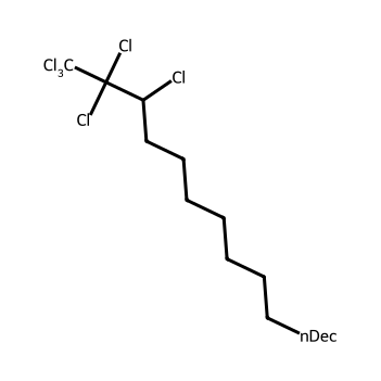 CCCCCCCCCCCCCCCCCC(Cl)C(Cl)(Cl)C(Cl)(Cl)Cl